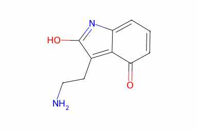 NCCC1=C2C(=O)C=CC=C2N=C1O